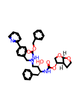 O=C(NN(Cc1ccc(-c2ccccn2)cc1)C[C@H](O)[C@H](Cc1ccccc1)NC(=O)O[C@H]1CO[C@H]2OCC[C@H]21)OCc1ccccc1